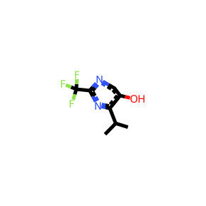 CC(C)c1nc(C(F)(F)F)ncc1O